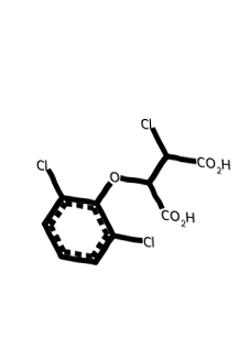 O=C(O)C(Cl)C(Oc1c(Cl)cccc1Cl)C(=O)O